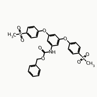 CS(=O)(=O)c1ccc(Oc2cc(NC(=O)OCc3ccccc3)cc(Oc3ccc(S(C)(=O)=O)cc3)c2)cc1